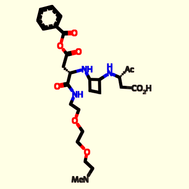 CNCCOCCOCCNC(=O)[C@H](CC(=O)OC(=O)c1ccccc1)NC1CCC1N[C@@H](CC(=O)O)C(C)=O